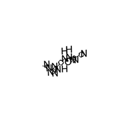 Cc1cn(-c2ncnc3[nH]c(-c4ccc(NC(=O)Nc5cc(-c6ccncc6)nn5C)cc4)nc23)cn1